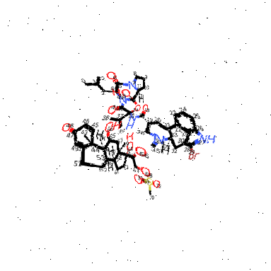 CC(C)C[C@H]1C(=O)N2CCC[C@H]2[C@]2(O)O[C@](NC(=O)[C@@H]3C=C4c5cccc6[nH]c(Br)c(c56)C[C@H]4N(C)C3)(C(C)C)C(=O)N12.C[C@]12C=CC(=O)C=C1CC[C@@H]1[C@@H]2C(O)C[C@@]2(C)[C@H]1CC[C@]2(O)C(=O)COS(C)(=O)=O